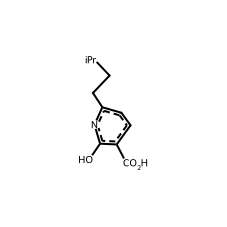 CC(C)CCc1ccc(C(=O)O)c(O)n1